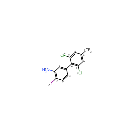 Nc1cc(-c2c(Cl)cc(C(F)(F)F)cc2Cl)ccc1I